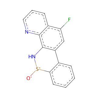 [O-][S+]1Nc2c(cc(F)c3cccnc23)-c2ccccc21